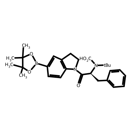 CC(C)(C)N(C(=O)O)[C@@H](Cc1ccccc1)C(=O)N1CCc2cc(B3OC(C)(C)C(C)(C)O3)ccc21